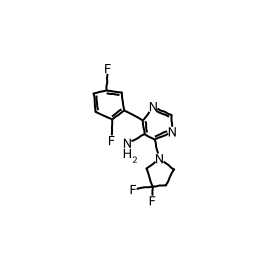 Nc1c(-c2cc(F)ccc2F)ncnc1N1CCC(F)(F)C1